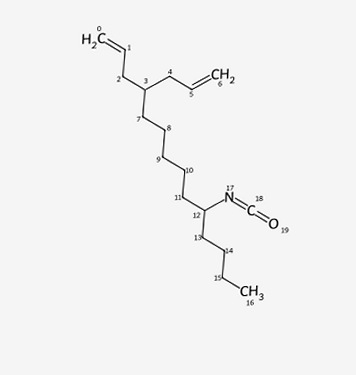 C=CCC(CC=C)CCCCCC(CCCC)N=C=O